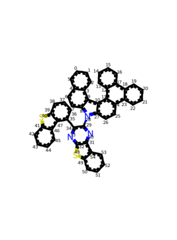 c1ccc2c(c1)ccc1c2c2c3c4ccccc4c4ccccc4c3ccc2n1-c1nc2c(nc1-c1cccc3sc4ccccc4c13)sc1ccccc12